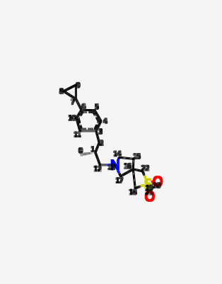 C[C@H](Cc1ccc(C2CC2)cc1)CN1CCC2(C1)CS(=O)(=O)C2